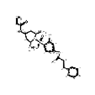 C=CC(=O)NC1CC(C)N(S(=O)(=O)c2ccc(NC(=O)CCc3ccccc3)cc2Cl)C(C)C1